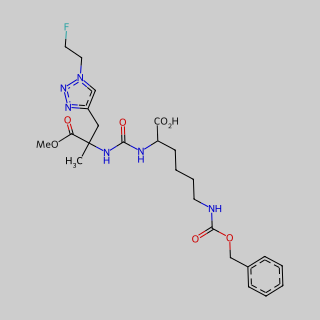 COC(=O)C(C)(Cc1cn(CCF)nn1)NC(=O)NC(CCCCNC(=O)OCc1ccccc1)C(=O)O